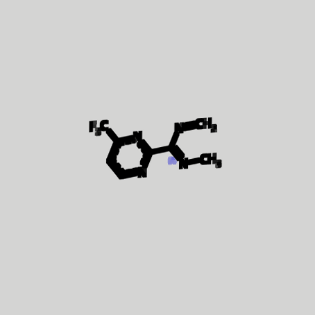 C=N/C(=N\C)c1nccc(C(F)(F)F)n1